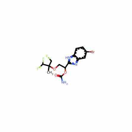 CC(CF)(OCC(OC(N)=O)c1nc2cc(Br)ccc2[nH]1)C(F)F